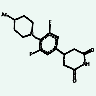 CC(=O)C1CCN(c2c(F)cc(C3CC(=O)NC(=O)C3)cc2F)CC1